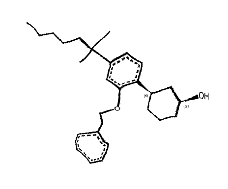 CCCCCC(C)(C)c1ccc([C@@H]2CCC[C@H](O)C2)c(OCc2ccccc2)c1